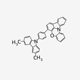 Cc1ccc2c(c1)c1cc(C)ccc1n2-c1ccc(-c2ccc3c4ccccc4n4c3c2Oc2ccccc2-4)cc1